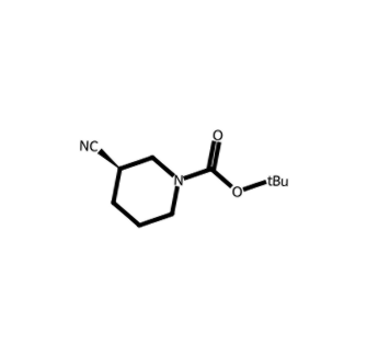 CC(C)(C)OC(=O)N1CCC[C@@H](C#N)C1